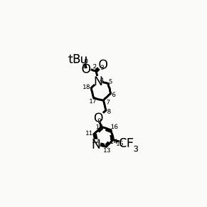 CC(C)(C)OC(=O)N1CCC(COc2cncc(C(F)(F)F)c2)CC1